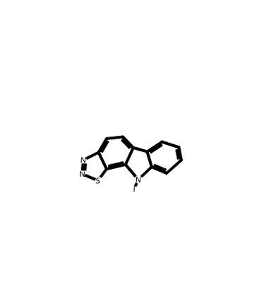 In1c2ccccc2c2ccc3nnsc3c21